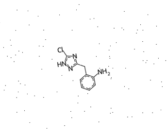 Nc1ccccc1Cc1n[nH]c(Cl)n1